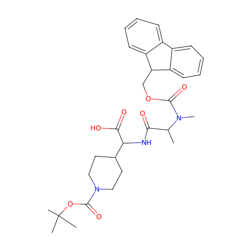 CC(C(=O)NC(C(=O)O)C1CCN(C(=O)OC(C)(C)C)CC1)N(C)C(=O)OCC1c2ccccc2-c2ccccc21